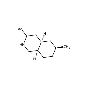 CC(=O)C1C[C@H]2C[C@@H](C)CC[C@H]2CN1